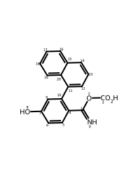 N=C(OC(=O)O)c1ccc(O)cc1-c1cccc2ccccc12